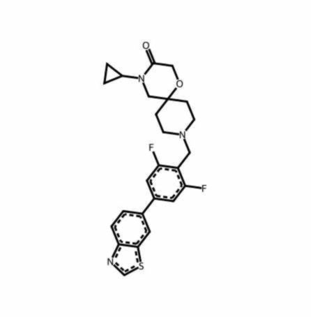 O=C1COC2(CCN(Cc3c(F)cc(-c4ccc5ncsc5c4)cc3F)CC2)CN1C1CC1